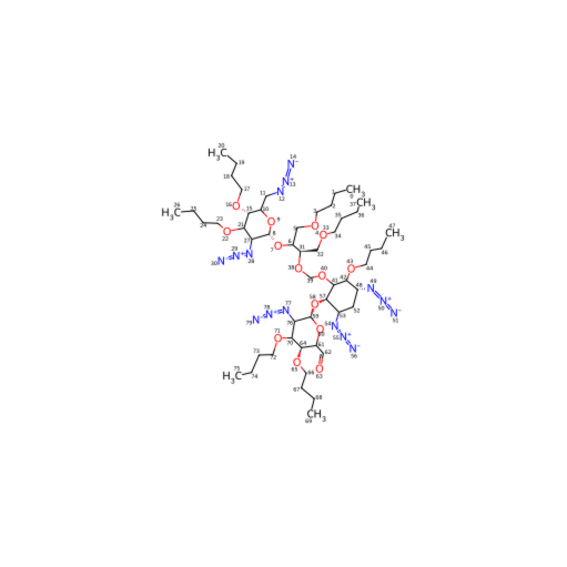 CCCCOCC(O[C@H]1OC(CN=[N+]=[N-])[C@@H](OCCCC)C(OCCCC)C1N=[N+]=[N-])[C@@H](COCCCC)OCOC1C(OCCCC)[C@H](N=[N+]=[N-])CC(N=[N+]=[N-])[C@H]1O[C@H]1OC(C=O)[C@@H](OCCCC)C(OCCCC)C1N=[N+]=[N-]